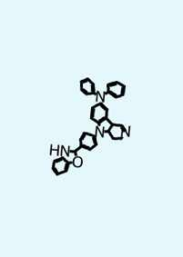 C1=NCCC2C1c1cc(N(c3ccccc3)c3ccccc3)ccc1N2c1ccc(C2Nc3ccccc3O2)cc1